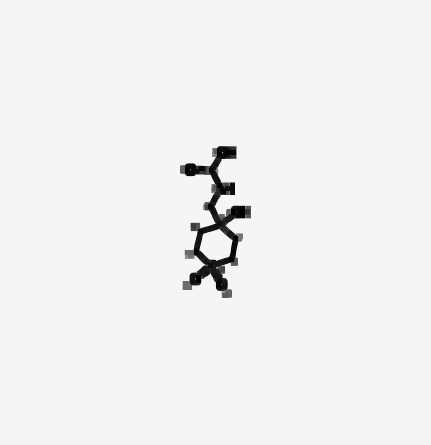 O=C(O)NCC1(O)CCS(=O)(=O)CC1